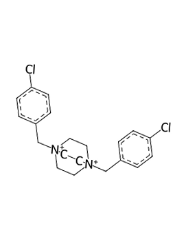 Clc1ccc(C[N+]23CC[N+](Cc4ccc(Cl)cc4)(CC2)CC3)cc1